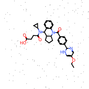 CCOC1=CNC(c2ccc(C(=O)N3c4ccccc4C(N(C(=O)CCC(=O)O)C4CC4)C4CCCC43)cc2)N=C1